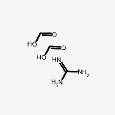 N=C(N)N.O=CO.O=CO